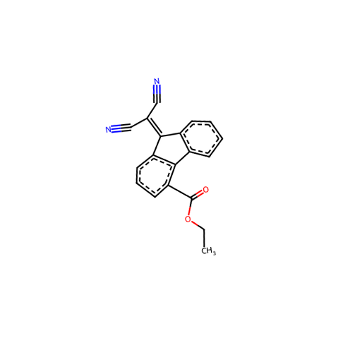 CCOC(=O)c1cccc2c1-c1ccccc1C2=C(C#N)C#N